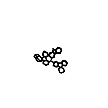 c1ccc2c(c1)-c1cc(N(c3ccc4sc5ccccc5c4c3)c3cccc4c3-c3ccccc3C43C4CC5CC(C4)CC3C5)ccc1C21CCCCC1